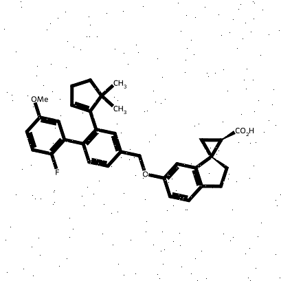 COc1ccc(F)c(-c2ccc(COc3ccc4c(c3)[C@]3(CC4)C[C@H]3C(=O)O)cc2C2=CCCC2(C)C)c1